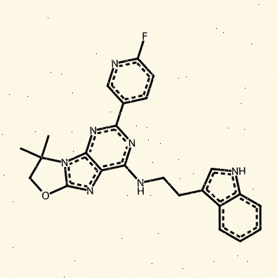 CC1(C)COc2nc3c(NCCc4c[nH]c5ccccc45)nc(-c4ccc(F)nc4)nc3n21